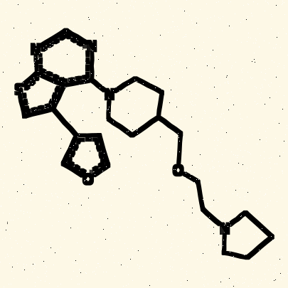 c1nc(N2CCC(COCCN3CCCC3)CC2)c2c(-c3ccoc3)csc2n1